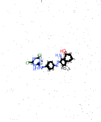 Nc1c(N=Nc2ccc(NC3=NC(Cl)N=C(Cl)N3)cc2)c(S(=O)(=O)O)cc2cccc(O)c12